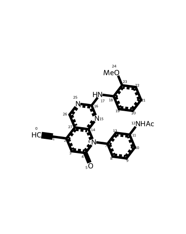 C#Cc1cc(=O)n(-c2cccc(NC(C)=O)c2)c2nc(Nc3ccccc3OC)ncc12